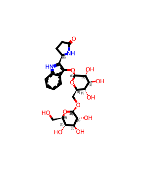 O=C1CC[C@H](c2[nH]c3ccccc3c2O[C@@H]2O[C@H](CO[C@@H]3O[C@H](CO)[C@@H](O)[C@H](O)[C@H]3O)[C@@H](O)[C@H](O)[C@H]2O)N1